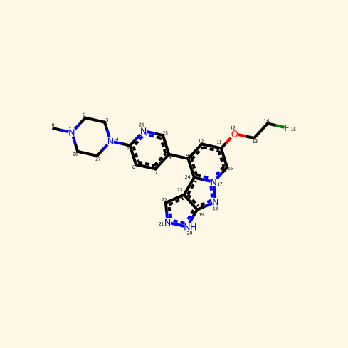 CN1CCN(c2ccc(-c3cc(OCCF)cn4nc5[nH]ncc5c34)cn2)CC1